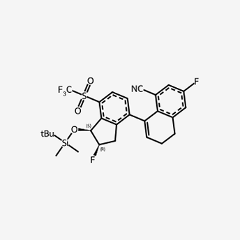 CC(C)(C)[Si](C)(C)O[C@H]1c2c(S(=O)(=O)C(F)(F)F)ccc(C3=CCCc4cc(F)cc(C#N)c43)c2C[C@H]1F